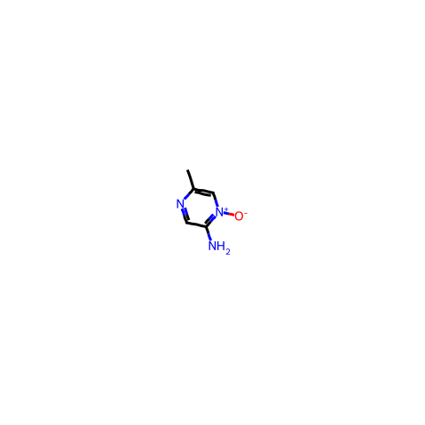 Cc1c[n+]([O-])c(N)cn1